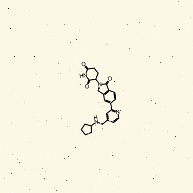 O=C1CCC(N2Cc3cc(-c4cc(CNC5CCCC5)ccn4)ccc3C2=O)C(=O)N1